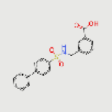 O=C(O)c1cccc(CNS(=O)(=O)c2ccc(-c3ccccc3)cc2)c1